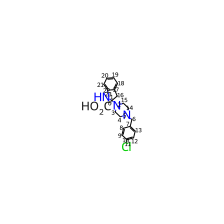 O=C(O)[C@]1(N2CCN(Cc3ccc(Cl)cc3)CC2)Cc2ccccc2N1